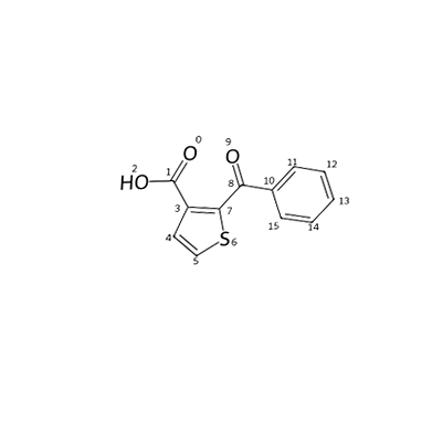 O=C(O)c1ccsc1C(=O)c1ccccc1